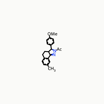 COc1ccc(C2C3CCc4ccc(C)cc4C3=NN2C(C)=O)cc1